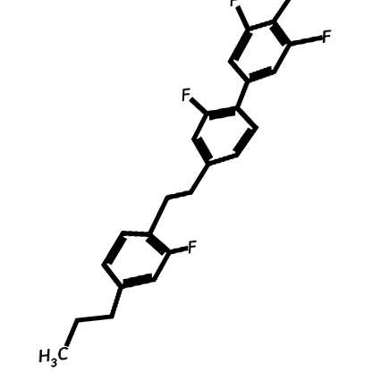 CCCc1ccc(CCc2ccc(-c3cc(F)c(F)c(F)c3)c(F)c2)c(F)c1